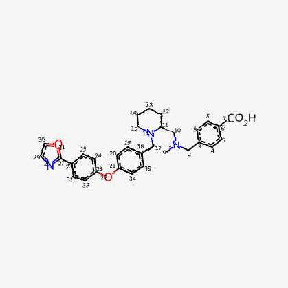 CN(Cc1ccc(C(=O)O)cc1)CC1CCCCN1Cc1ccc(Oc2ccc(-c3ncco3)cc2)cc1